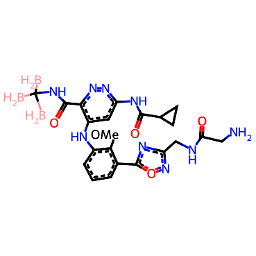 BC(B)(B)NC(=O)c1nnc(NC(=O)C2CC2)cc1Nc1cccc(-c2nc(CNC(=O)CN)no2)c1OC